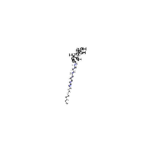 CCCCCCCCC/C=C/C=C/C=C/C=C/C=C/C=C/C(=O)N[C@@H](COP(=O)(O)O)C(=O)O